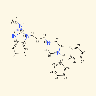 CC(=O)/N=c1\[nH]c2ccccc2n1CCCN1CCN(C(c2ccccc2)c2ccccc2)CC1